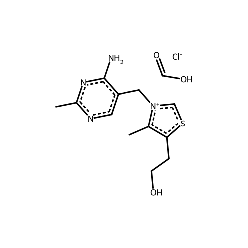 Cc1ncc(C[n+]2csc(CCO)c2C)c(N)n1.O=CO.[Cl-]